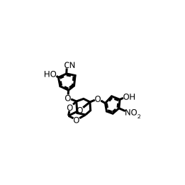 N#Cc1ccc(OC23CC4CC(Oc5ccc([N+](=O)[O-])c(O)c5)(C2)OC(O4)O3)cc1O